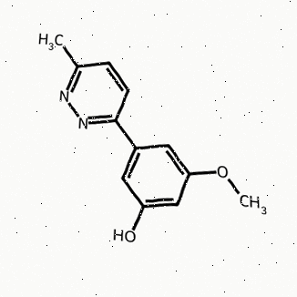 COc1cc(O)cc(-c2ccc(C)nn2)c1